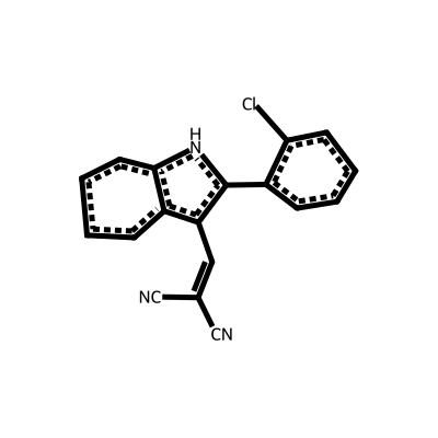 N#CC(C#N)=Cc1c(-c2ccccc2Cl)[nH]c2ccccc12